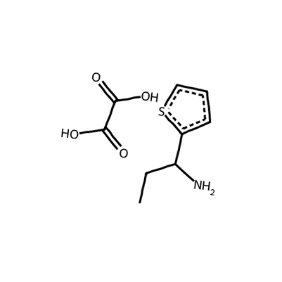 CCC(N)c1cccs1.O=C(O)C(=O)O